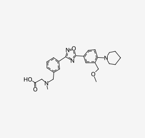 COCc1cc(-c2nc(-c3cccc(CN(C)CC(=O)O)c3)no2)ccc1N1CCCCC1